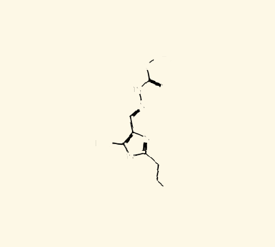 CCCc1nc(C=NNC(=S)SC)c(C)[nH]1